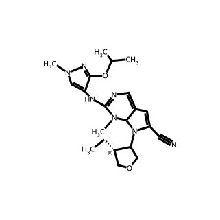 CC[C@H]1COCC1N1C(C#N)=CC2=CN=C(Nc3cn(C)nc3OC(C)C)N(C)C21